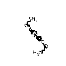 CCCC[C@@H]1O[C@H]1COc1ccc(-c2ncc(OC[C@@H]3O[C@H]3CCC)cn2)cc1